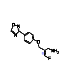 NC/C(=C\F)COc1ccc(-c2ncon2)cc1